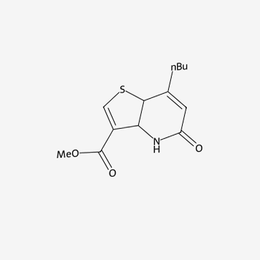 CCCCC1=CC(=O)NC2C(C(=O)OC)=CSC12